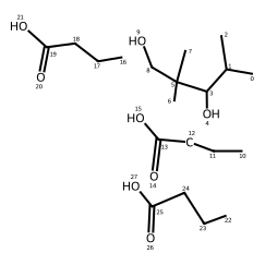 CC(C)C(O)C(C)(C)CO.CCCC(=O)O.CCCC(=O)O.CCCC(=O)O